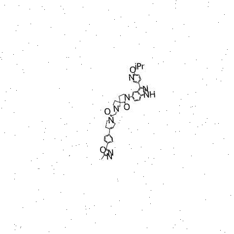 Cc1nnc(-c2ccc(C3=CCN(C(=O)CN4CCC5(CCN(c6ccc7[nH]nc(-c8ccc(OC(C)C)nc8)c7c6)C5=O)C4)CC3)cc2)o1